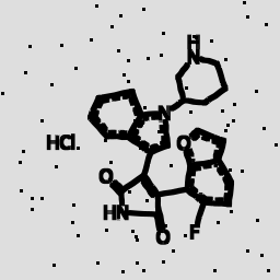 Cl.O=C1NC(=O)C(c2c(F)ccc3ccoc23)=C1c1cn(C2CCCNC2)c2ccccc12